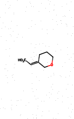 O=C(O)C=C1CCCOC1